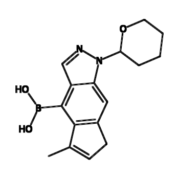 CC1=CCc2cc3c(cnn3C3CCCCO3)c(B(O)O)c21